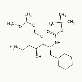 COC(C)OCO[C@H]([C@H](CC1CCCCC1)NC(=O)OC(C)(C)C)[C@@H](O)CCN